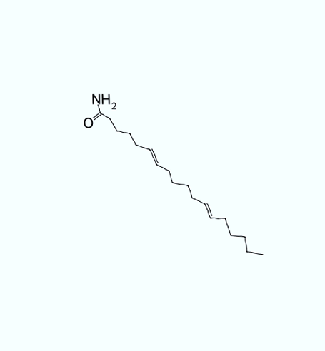 CCCCCC=CCCCCC=CCCCCC(N)=O